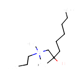 CCCCCCCCCCCCCCCC(C)(O)C[N+](C)(C)CCC(=O)[O-]